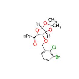 CCCC(=O)[C@H]1O[C@@H]2OC(C)(C)O[C@@H]2[C@H]1OCc1cccc(Br)c1Cl